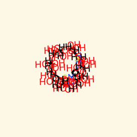 O=C1Nc2ccc(cc2)NC(=O)SC[C@H]2O[C@@H]3O[C@H]4C(O)C(O)[C@H](O[C@@H]4CO)O[C@H]4C(O)C(O)[C@H](O[C@@H]4CO)O[C@H]4C(O)C(O)[C@H](O[C@@H]4CO)O[C@H]4C(O)C(O)[C@H](O[C@@H]4CS1)O[C@H]1C(O)C(O)[C@H](O[C@@H]1CO)O[C@H]1C(O)C(O)[C@H](O[C@@H]1CO)O[C@H]2C(O)C3O